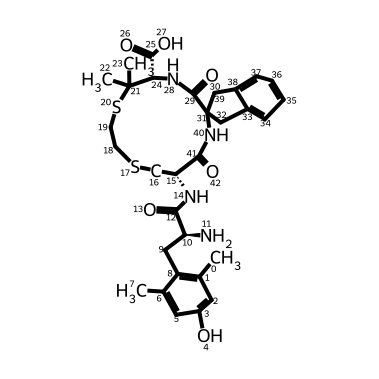 Cc1cc(O)cc(C)c1C[C@H](N)C(=O)N[C@@H]1CSCCSC(C)(C)[C@H](C(=O)O)NC(=O)C2(Cc3ccccc3C2)NC1=O